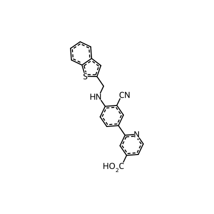 N#Cc1cc(-c2cc(C(=O)O)ccn2)ccc1NCc1cc2ccccc2s1